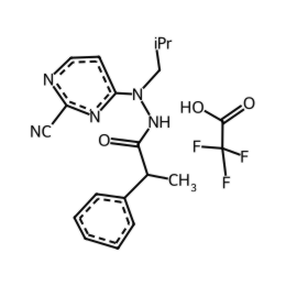 CC(C)CN(NC(=O)C(C)c1ccccc1)c1ccnc(C#N)n1.O=C(O)C(F)(F)F